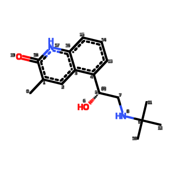 Cc1cc2c([C@@H](O)CNC(C)(C)C)cccc2[nH]c1=O